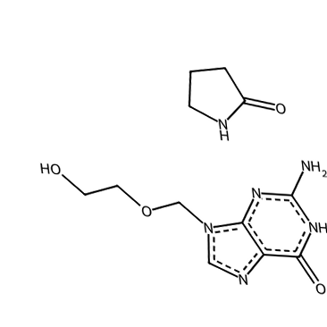 Nc1nc2c(ncn2COCCO)c(=O)[nH]1.O=C1CCCN1